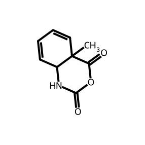 CC12C=CC=CC1NC(=O)OC2=O